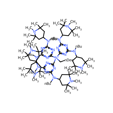 CCCCCCCCCCC[N+](c1nc(N(CCCC)C2CC(C)(C)N(C)C(C)(C)C2)nc(N(CCCC)C2CC(C)(C)N(C)C(C)(C)C2)n1)(c1nc(N(CCCC)C2CC(C)(C)N(C)C(C)(C)C2)nc(N(CCCC)C2CC(C)(C)N(C)C(C)(C)C2)n1)c1nc(N(CCCC)C2CC(C)(C)N(C)C(C)(C)C2)nc(N(CCCC)C2CC(C)(C)N(C)C(C)(C)C2)n1